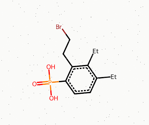 CCc1ccc(P(=O)(O)O)c(CCBr)c1CC